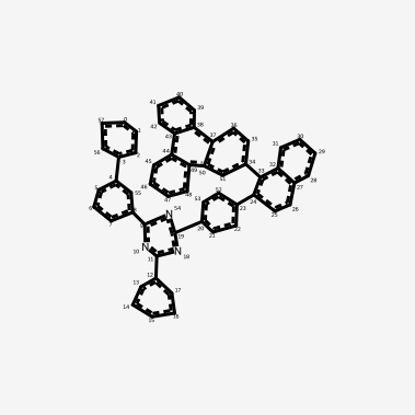 c1ccc(-c2cccc(-c3nc(-c4ccccc4)nc(-c4ccc(-c5ccc6ccccc6c5-c5ccc6c7ccccc7c7ccccc7c6c5)cc4)n3)c2)cc1